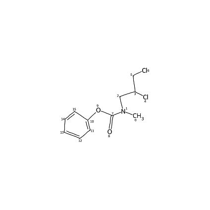 CN(CC(Cl)CCl)C(=O)Oc1ccccc1